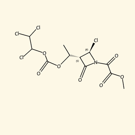 COC(=O)C(=O)N1C(=O)[C@H](C(C)OC(=O)OC(Cl)C(Cl)Cl)[C@H]1Cl